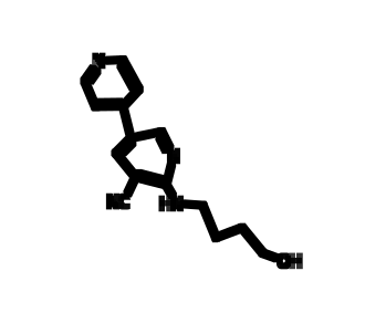 N#Cc1cc(-c2ccncc2)cnc1NCCCCO